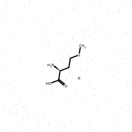 CSCC[C@H](N)C(=O)O.[K]